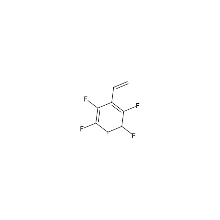 C=CC1=C(F)C(F)[CH]C(F)=C1F